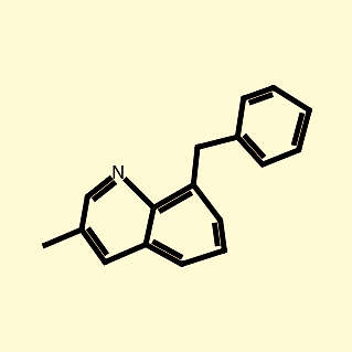 Cc1cnc2c(Cc3ccccc3)cccc2c1